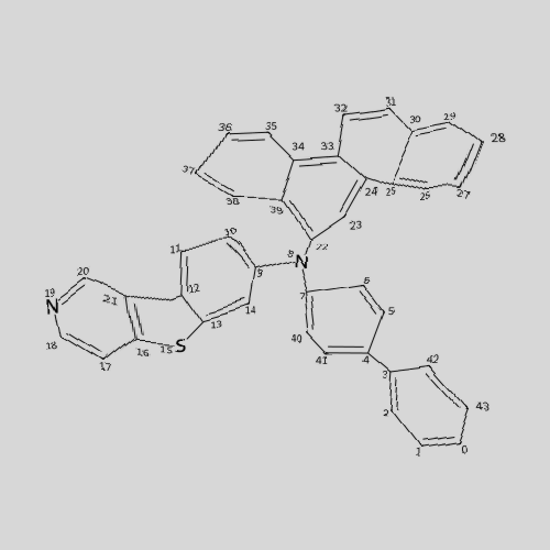 c1ccc(-c2ccc(N(c3ccc4c(c3)sc3ccncc34)c3cc4c5ccccc5ccc4c4ccccc34)cc2)cc1